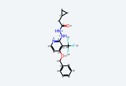 O=C(CC1CC1)NNc1nccc(OCc2ccccc2)c1C(F)(F)F